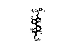 CNCCC1=C2C(=O)C=CC(C3=C4N=CC(CCN(C)C)=C4C(=O)C=C3)=C2NC1=O